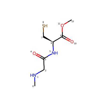 CNCC(=O)N[C@@H](CS)C(=O)OC